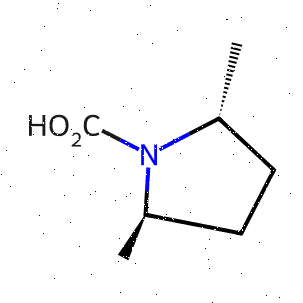 C[C@@H]1CC[C@@H](C)N1C(=O)O